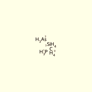 C.P.[AsH3].[SiH4]